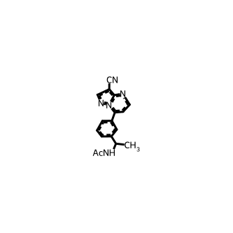 CC(=O)NC(C)c1cccc(-c2ccnc3c(C#N)cnn23)c1